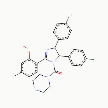 CCOc1cc(CC)ccc1C1=NC(c2ccc(Cl)cc2)C(c2ccc(Cl)cc2)N1C(=O)N1CCNCC1